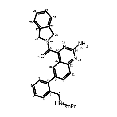 CCCNCc1ccccc1-c1ccc2nc(N)nc(C(=O)N3Cc4ccccc4C3)c2c1